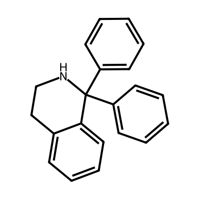 c1ccc(C2(c3ccccc3)NCCc3ccccc32)cc1